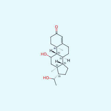 CC(O)[C@H]1CC[C@H]2[C@@H]3CCC4=CC(=O)CC[C@]4(C)[C@H]3C(O)C[C@]12C